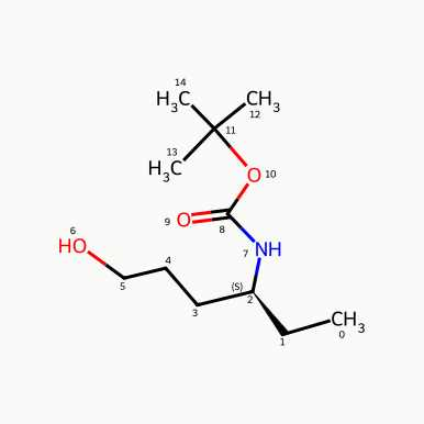 CC[C@@H](CCCO)NC(=O)OC(C)(C)C